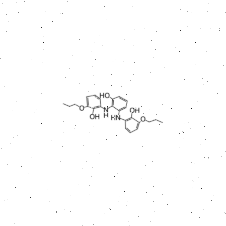 CCCOc1cccc(Nc2cccc(O)c2Nc2cccc(OCCC)c2O)c1O